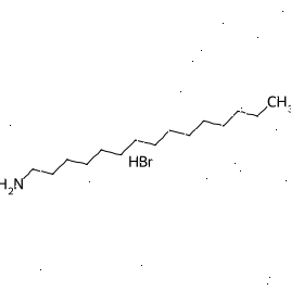 Br.CCCCCCCCCCCCCCCN